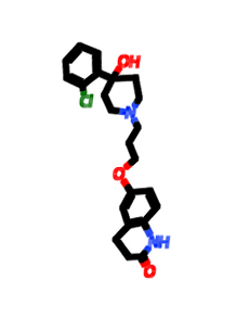 O=C1CCc2cc(OCCCN3CCC(O)(c4ccccc4Cl)CC3)ccc2N1